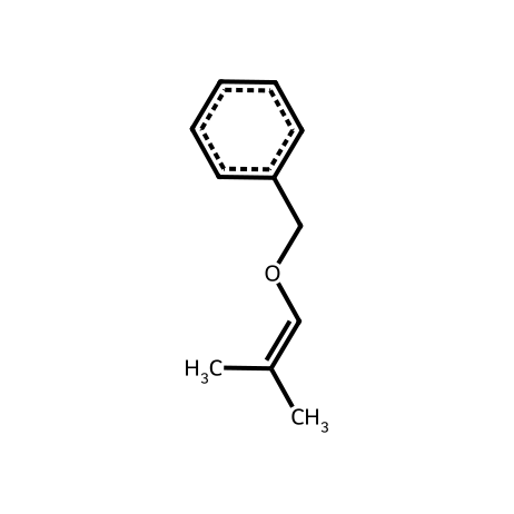 CC(C)=COCc1ccccc1